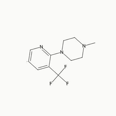 CN1CCN(c2nc[c]cc2C(F)(F)F)CC1